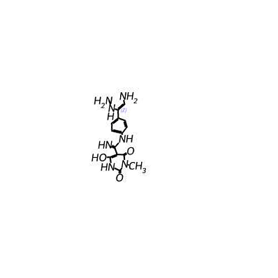 Cn1c(=O)[nH]c(O)c(C(=N)Nc2ccc(/C(=C/N)NN)cc2)c1=O